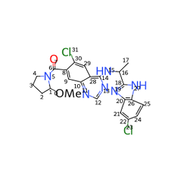 COC1CCCN1C(=O)c1cc2ncnc(NC(C)c3nc4cc(Cl)ccc4[nH]3)c2cc1Cl